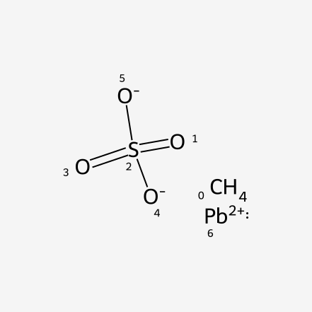 C.O=S(=O)([O-])[O-].[Pb+2]